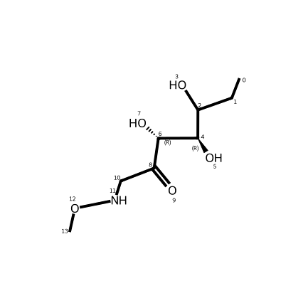 CCC(O)[C@@H](O)[C@@H](O)C(=O)CNOC